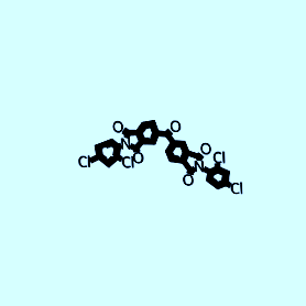 O=C(c1ccc2c(c1)C(=O)N(c1ccc(Cl)cc1Cl)C2=O)c1ccc2c(c1)C(=O)N(c1ccc(Cl)cc1Cl)C2=O